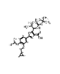 CC(C)C(NC(=O)OC(C)(C)C)c1oc(-c2ccc(OC(F)F)c(OCC3CC3)c2)nc1C(=O)O